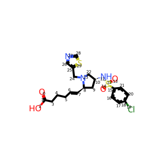 O=C(O)CCCC=C[C@@H]1C[C@@H](NS(=O)(=O)c2ccc(Cl)cc2)CN1Cc1cncs1